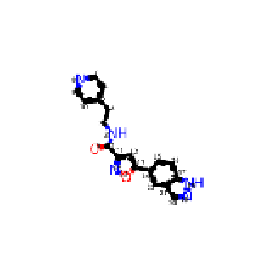 O=C(NCCc1ccncc1)c1cc(-c2ccc3[nH]ncc3c2)on1